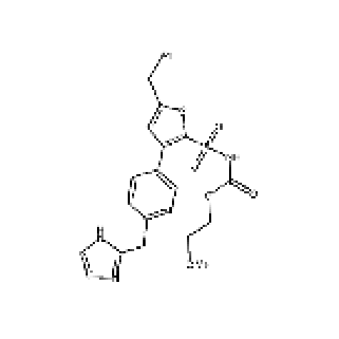 COCCOC(=O)NS(=O)(=O)c1sc(CC(C)C)cc1-c1ccc(Cc2ncc[nH]2)cc1